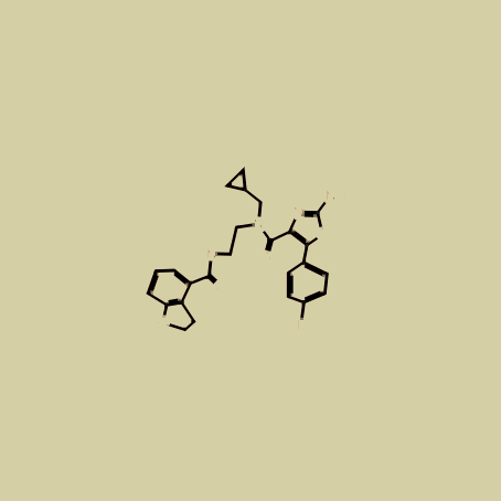 Nc1nc(C(=O)N(CCNC(=O)c2cccc3c2CCO3)CC2CC2)c(-c2ccc(F)cc2)s1